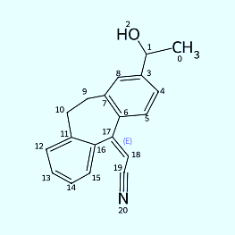 CC(O)c1ccc2c(c1)CCc1ccccc1/C2=C\C#N